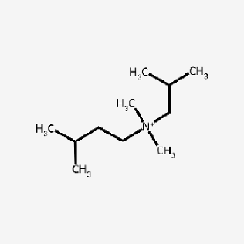 CC(C)CC[N+](C)(C)CC(C)C